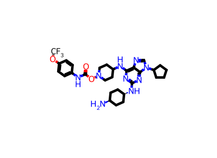 N[C@H]1CC[C@H](Nc2nc(NC3CCN(OC(=O)Nc4ccc(OC(F)(F)F)cc4)CC3)c3ncn(C4CCCC4)c3n2)CC1